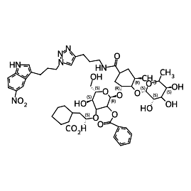 CC1O[C@@H](OC2[C@H](C)CC(C(=O)NCCCc3cn(CCCc4c[nH]c5ccc([N+](=O)[O-])cc45)nn3)C[C@H]2O[C@@H]2O[C@@H](CO)[C@H](O)C(O[C@@H](CC3CCCCC3)C(=O)O)C2OC(=O)c2ccccc2)[C@@H](O)C(O)[C@@H]1O